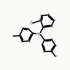 Cc1ccc([SiH](c2ccc(C)cc2)c2ccccc2Cl)cc1